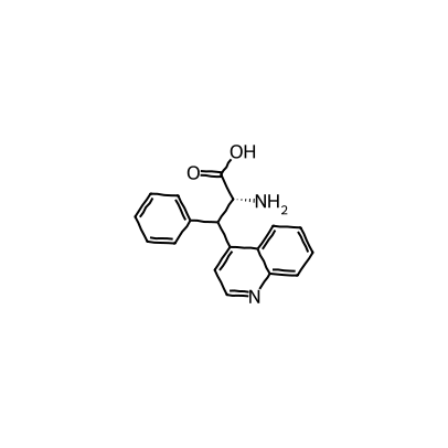 N[C@@H](C(=O)O)C(c1ccccc1)c1ccnc2ccccc12